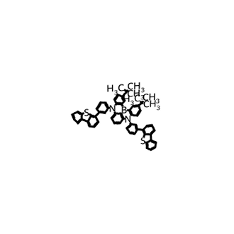 CC(C)(C)c1ccc2c(c1)B1c3cc(C(C)(C)C)ccc3N(c3cccc(-c4cccc5c4sc4ccccc45)c3)c3cccc(c31)N2c1cccc(-c2cccc3c2sc2ccccc23)c1